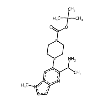 CC(N)c1nc2ccn(C)c2cc1N1CCN(C(=O)OC(C)(C)C)CC1